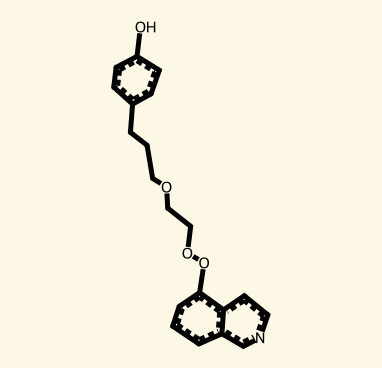 Oc1ccc(CCCOCCOOc2cccc3cnccc23)cc1